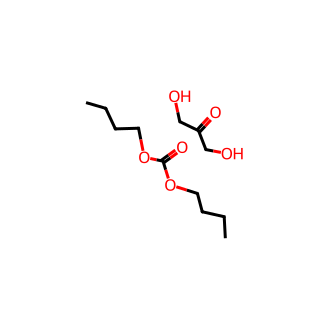 CCCCOC(=O)OCCCC.O=C(CO)CO